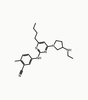 CCCCc1cc(N2CCC(NCC)C2)nc(Nc2ccc(C)c(C#N)c2)n1